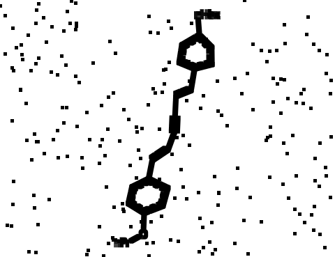 CCCCCCc1ccc(/C=C/C#C/C=C/c2ccc(OCCC)cc2)cc1